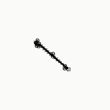 O=C(CCl)OCCCCCCCCCCOC(=O)CCCCCCCCCCC(=O)ON1C(=O)CCC1=O